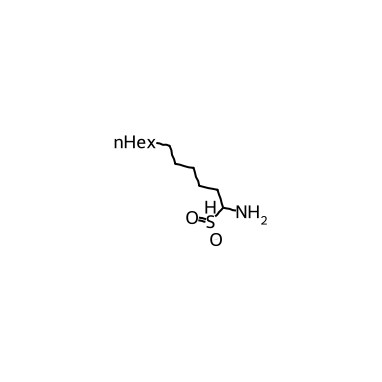 CCCCCCCCCCCC(N)[SH](=O)=O